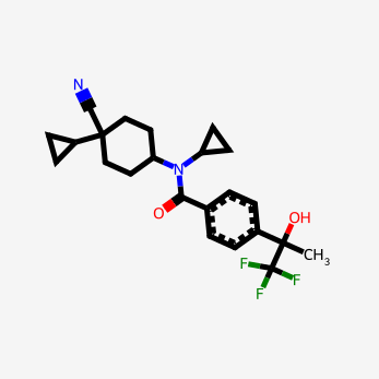 CC(O)(c1ccc(C(=O)N(C2CC2)C2CCC(C#N)(C3CC3)CC2)cc1)C(F)(F)F